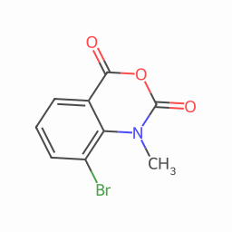 Cn1c(=O)oc(=O)c2cccc(Br)c21